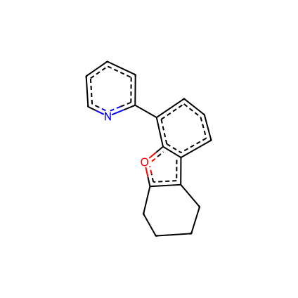 c1ccc(-c2cccc3c4c(oc23)CCCC4)nc1